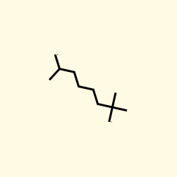 [CH2]C(C)CCCCC([CH2])(C)C